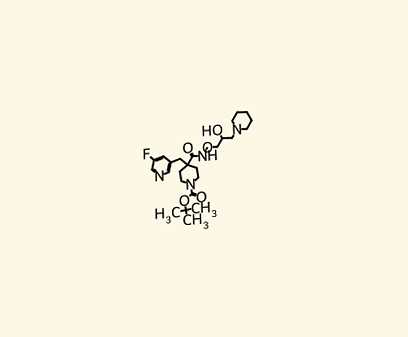 CC(C)(C)OC(=O)N1CCC(Cc2cncc(F)c2)(C(=O)NOCC(O)CN2CCCCC2)CC1